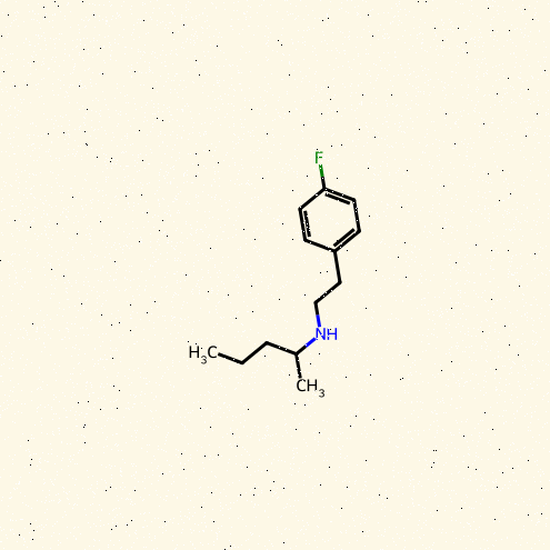 CCCC(C)NCCc1ccc(F)cc1